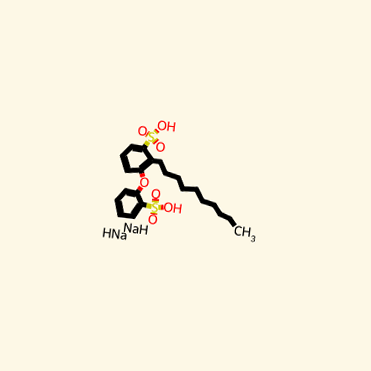 CCCCCCCCCCc1c(Oc2ccccc2S(=O)(=O)O)cccc1S(=O)(=O)O.[NaH].[NaH]